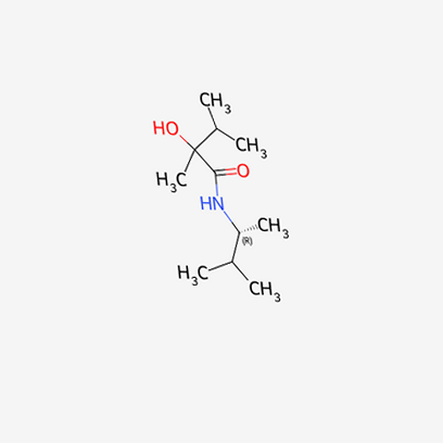 CC(C)[C@@H](C)NC(=O)C(C)(O)C(C)C